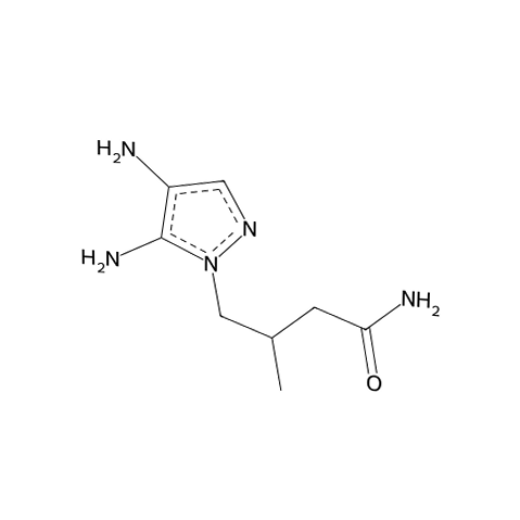 CC(CC(N)=O)Cn1ncc(N)c1N